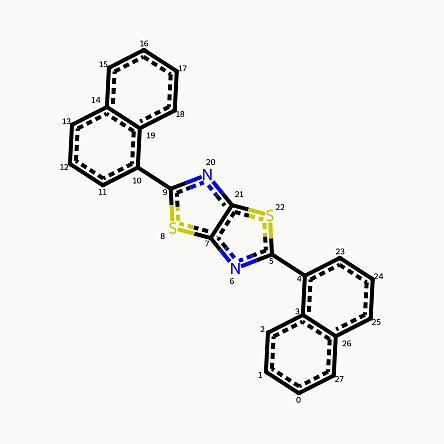 c1ccc2c(-c3nc4sc(-c5cccc6ccccc56)nc4s3)cccc2c1